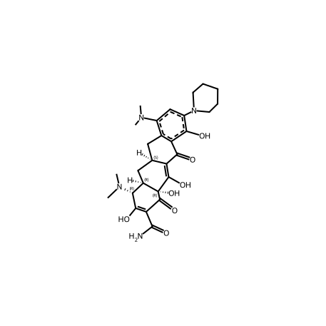 CN(C)c1cc(N2CCCCC2)c(O)c2c1C[C@@H]1C[C@@H]3[C@@H](N(C)C)C(O)=C(C(N)=O)C(=O)[C@]3(O)C(O)=C1C2=O